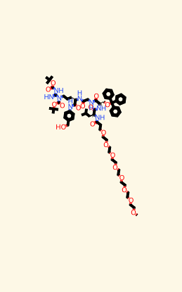 COCCOCCOCCOCCOCCOCCOCCOCCC(=O)N[C@@H](CC(C)C)C(=O)N[C@@H](COC(c1ccccc1)(c1ccccc1)c1ccccc1)C(=O)NCC(=O)N[C@@H](CCCN(C(=N)NC(=O)OC(C)(C)C)C(=O)OC(C)(C)C)C(=O)Nc1ccc(CO)cc1